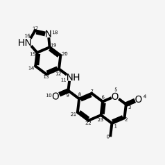 Cc1cc(=O)oc2cc(C(=O)Nc3ccc4[nH]cnc4c3)ccc12